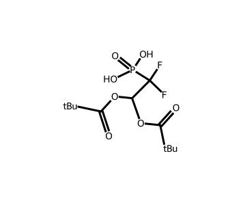 CC(C)(C)C(=O)OC(OC(=O)C(C)(C)C)C(F)(F)P(=O)(O)O